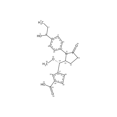 CCC(O)c1ccc(N2C(=O)CCC2[C@@H](OC)c2ccc(C(=O)O)s2)cc1